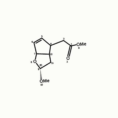 COC(=O)CC1C=CC2O[C@@H](OC)CC12